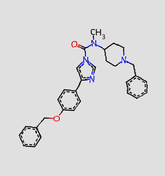 CN(C(=O)n1cnc(-c2ccc(OCc3ccccc3)cc2)c1)C1CCN(Cc2ccccc2)CC1